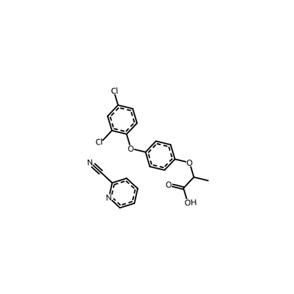 CC(Oc1ccc(Oc2ccc(Cl)cc2Cl)cc1)C(=O)O.N#Cc1ccccn1